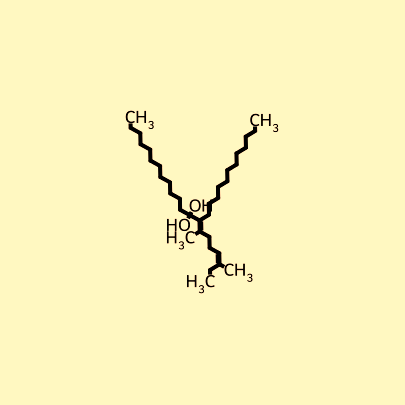 CCCCCCCCCCCCC(=C(C)CCC=C(C)CC)C(O)(O)CCCCCCCCCCCC